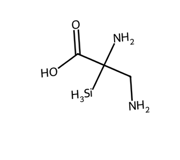 NCC(N)([SiH3])C(=O)O